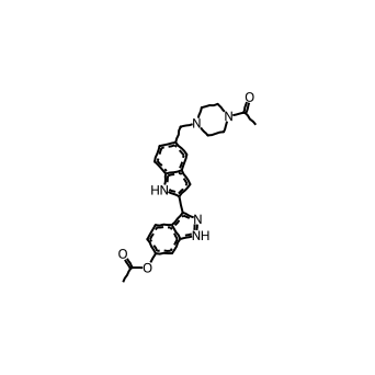 CC(=O)Oc1ccc2c(-c3cc4cc(CN5CCN(C(C)=O)CC5)ccc4[nH]3)n[nH]c2c1